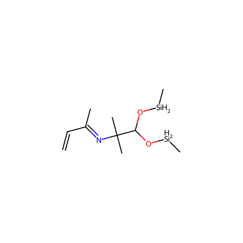 C=CC(C)=NC(C)(C)C(O[SiH2]C)O[SiH2]C